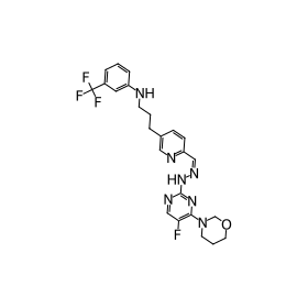 Fc1cnc(N/N=C\c2ccc(CCCNc3cccc(C(F)(F)F)c3)cn2)nc1N1CCCOC1